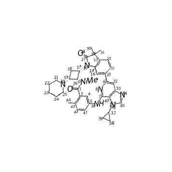 CNC(=O)c1cc(Nc2nc(-c3ccc4c(c3)N([C@H]3C[C@@H](N5CCCCC5)C3)C(=O)C4(C)C)cc3ncn(C4CC4)c23)ccc1C